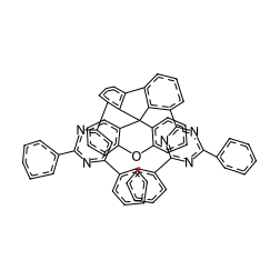 c1ccc(-c2cc(-c3cccc4c3C3(c5ccccc5Oc5ccccc53)c3c(-c5nc(-c6ccccc6)nc(-c6ccccc6)n5)cccc3-4)nc(-c3ccccc3)n2)cc1